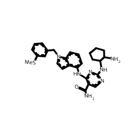 CSc1cccc(Cn2ccc3c(Nc4nc(NC5CCCCC5N)ncc4C(N)=O)cccc32)c1